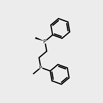 CP(CC[P@@](C)c1ccccc1)c1ccccc1